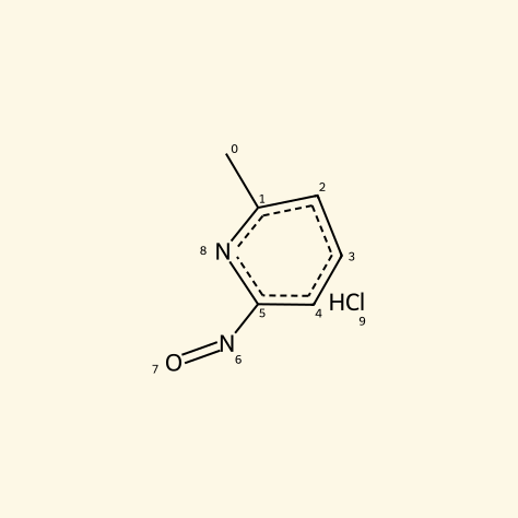 Cc1cccc(N=O)n1.Cl